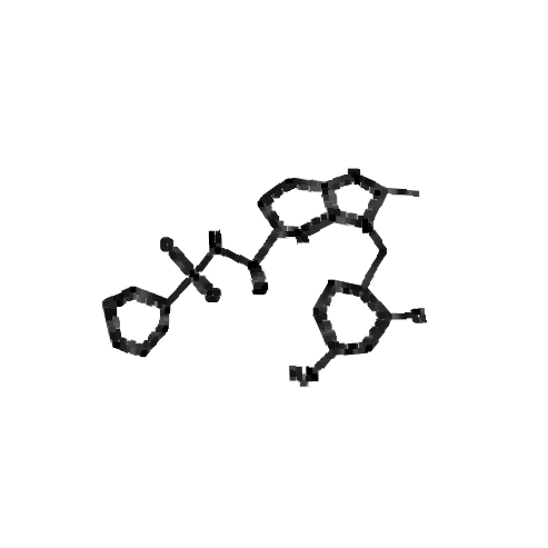 Cc1nc2ccc(C(=O)NS(=O)(=O)c3ccccc3)nc2n1Cc1ccc(N)cc1Cl